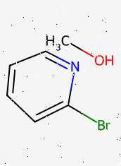 Brc1ccccn1.CO